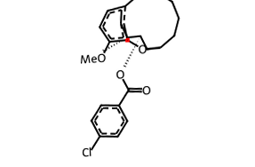 COc1ccc2c3c1OC(CCCCC2)C[C@@H](OC(=O)c1ccc(Cl)cc1)[C@@H]3C